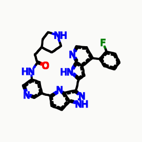 O=C(CC1CCNCC1)Nc1cncc(-c2ccc3[nH]nc(-c4cc5c(-c6ccccc6F)ccnc5[nH]4)c3n2)c1